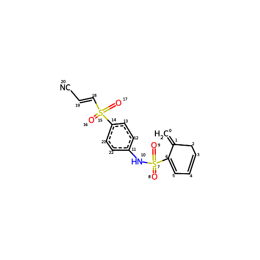 C=C1CC=CC=C1S(=O)(=O)Nc1ccc(S(=O)(=O)C=CC#N)cc1